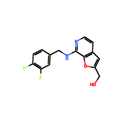 OCc1cc2ccnc(NCc3ccc(F)c(F)c3)c2o1